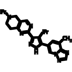 Cc1cc(-c2[nH]nc(-c3ncc4c(n3)CCN(C(C)C)C4)c2C(C)C)cn2ncnc12